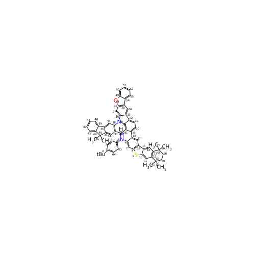 CC(C)(C)c1ccc(Nc2cc3sc4cc5c(cc4c3cc2-c2ccc3c4cc6c(cc4n4c3c2Bc2cc3c(cc2-4)-c2ccccc2C3(C)C)oc2ccccc26)C(C)(C)CCC5(C)C)cc1